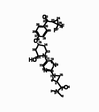 CN(C)C(=O)C1CN(c2ncc(N3CC[C@@H](Oc4ccc(C(=O)C5CC5(F)F)cc4)CC3O)cn2)C1